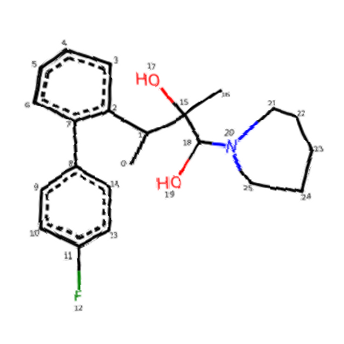 CC(c1ccccc1-c1ccc(F)cc1)C(C)(O)C(O)N1CCCCC1